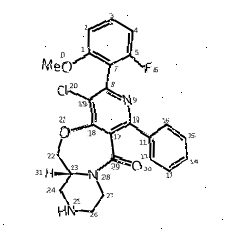 COc1cccc(F)c1-c1nc(-c2ccccc2)c2c(c1Cl)OC[C@H]1CNCCN1C2=O